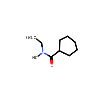 CCOC(=O)CN(C#N)C(=O)C1CCCCC1